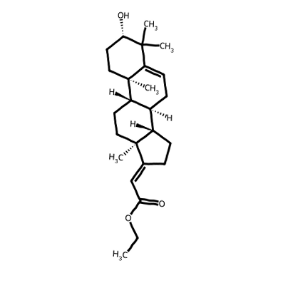 CCOC(=O)/C=C1\CC[C@H]2[C@@H]3CC=C4C(C)(C)[C@@H](O)CC[C@]4(C)[C@H]3CC[C@]12C